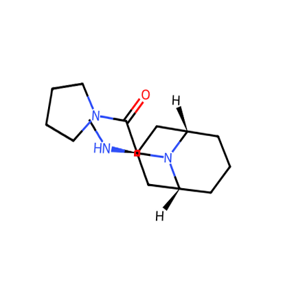 CN[C@@H]1C[C@H]2CCC[C@@H](C1)N2CC(=O)N1CCCC1